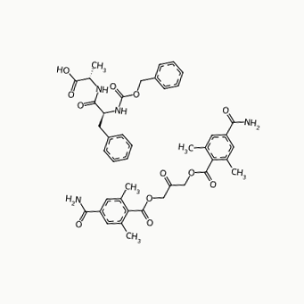 C[C@H](NC(=O)[C@H](Cc1ccccc1)NC(=O)OCc1ccccc1)C(=O)O.Cc1cc(C(N)=O)cc(C)c1C(=O)OCC(=O)COC(=O)c1c(C)cc(C(N)=O)cc1C